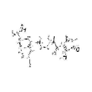 Cc1[nH]c(C(=O)NC2CCN(c3cc(C(=O)O)nc4ccc(F)cc34)CC2)c(Cl)c1Cl